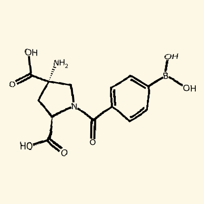 N[C@@]1(C(=O)O)C[C@H](C(=O)O)N(C(=O)c2ccc(B(O)O)cc2)C1